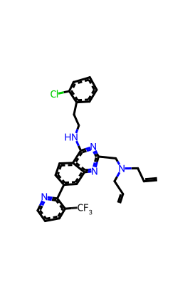 C=CCN(CC=C)Cc1nc(NCCc2ccccc2Cl)c2ccc(-c3ncccc3C(F)(F)F)cc2n1